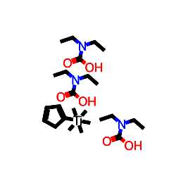 CCN(CC)C(=O)O.CCN(CC)C(=O)O.CCN(CC)C(=O)O.[CH3][Ti]([CH3])([CH3])([CH3])([CH3])[C]1=CC=CC1